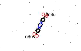 CCCC[C@H](C)OC(=O)c1ccc(N2CCN(c3ccc(C(=O)O[C@@H](C)CCCC)cc3)CC2)cc1